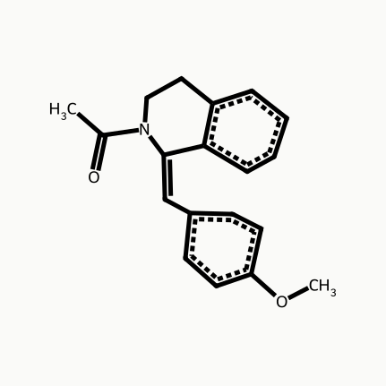 COc1ccc(C=C2c3ccccc3CCN2C(C)=O)cc1